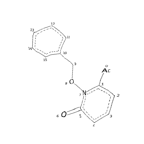 CC(=O)c1cccc(=O)n1OCc1ccccc1